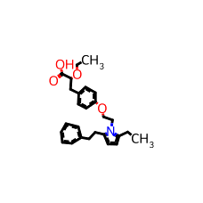 CCOC(Cc1ccc(OCCn2c(CC)ccc2CCc2ccccc2)cc1)C(=O)O